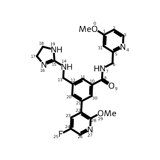 COc1ccnc(CNC(=O)c2cc(CNC3=NCCN3)cc(-c3cc(F)cnc3OC)c2)c1